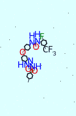 Cc1ccc(S(=O)(=O)Nc2nc3cc(Oc4ccc(NC(=O)Nc5cc(C(F)(F)F)ccc5F)cc4)ccc3[nH]2)cc1